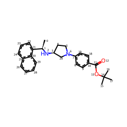 C[C@@H](N[C@H]1CCN(c2ccc(C(=O)OC(C)(C)C)cc2)C1)c1cccc2ccccc12